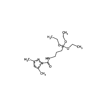 CCO[Si](CCCNC(=O)n1nc(C)cc1C)(OCC)OCC